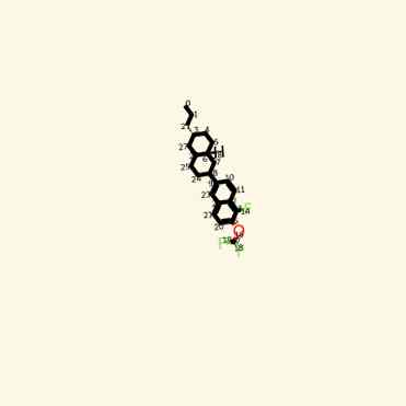 CCC[C@@H]1CC[C@@H]2CC(c3ccc4c(F)c(OC(F)F)ccc4c3)CCC2C1